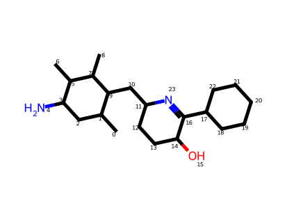 CC1CC(N)C(C)C(C)C1CC1CCC(O)C(C2CCCCC2)=N1